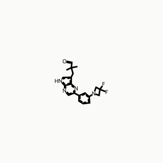 CC(C)(C=O)Cc1c[nH]c2ncc(-c3cccc(N4CC(F)(F)C4)c3)nc12